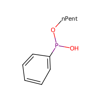 CCCCCOP(O)c1ccccc1